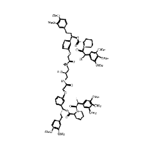 CCC(C(=O)N1CCCC[C@H]1C(=O)OC(CCc1ccc(OC)c(OC)c1)c1cccc(OCC(=O)NCC(O)CNC(=O)COc2cccc([C@@H](CCc3ccc(OC)c(OC)c3)OC(=O)[C@@H]3CCCCN3C(=O)[C@@H](I)c3cc(OC)c(OC)c(OC)c3)c2)c1)c1cc(OC)c(OC)c(OC)c1